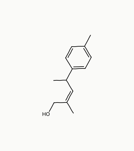 C/C(=C/C(C)c1ccc(C)cc1)CO